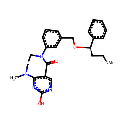 CNCC[C@@H](OCc1cccc(N2CCN(C)c3nc(O)ncc3C2=O)c1)c1ccccc1